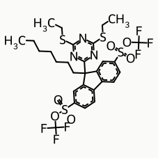 CCCCCCCC1(c2nc(SCC)nc(SCC)n2)c2cc(S(=O)(=O)OC(F)(F)F)ccc2-c2ccc(S(=O)(=O)OC(F)(F)F)cc21